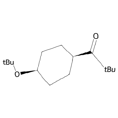 CC(C)(C)O[C@H]1CC[C@@H](C(=O)C(C)(C)C)CC1